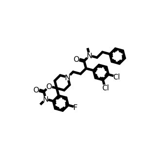 CN(CCc1ccccc1)C(=O)C(CCN1CCC2(CC1)OC(=O)N(C)c1ccc(F)cc12)c1ccc(Cl)c(Cl)c1